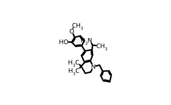 COc1ccc(-c2cc3c(cc2C(C)N)N(Cc2ccccc2)CCC3(C)C)cc1O